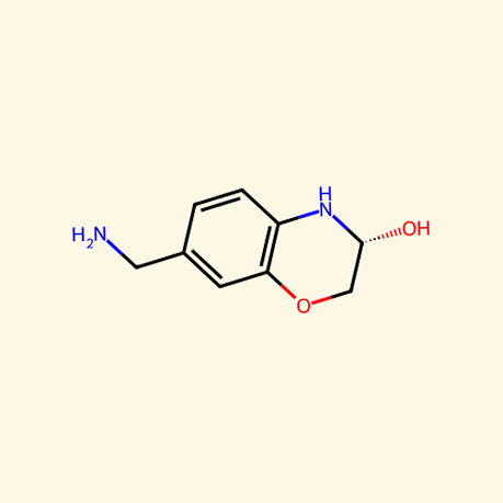 NCc1ccc2c(c1)OC[C@@H](O)N2